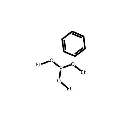 CCOP(OCC)OCC.c1ccccc1